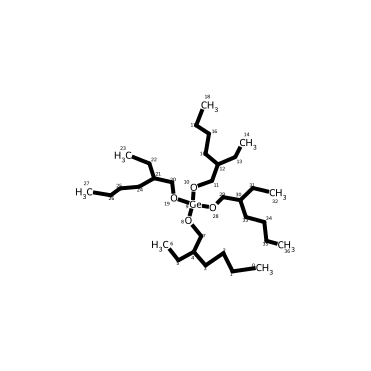 CCCCC(CC)C[O][Ge]([O]CC(CC)CCCC)([O]CC(CC)CCCC)[O]CC(CC)CCCC